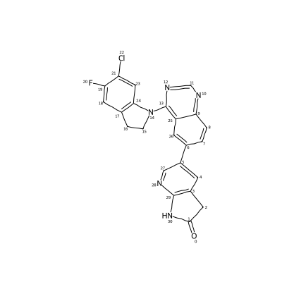 O=C1Cc2cc(-c3ccc4ncnc(N5CCc6cc(F)c(Cl)cc65)c4c3)cnc2N1